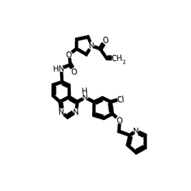 C=CC(=O)N1CCC(OC(=O)Nc2ccc3ncnc(Nc4ccc(OCc5ccccn5)c(Cl)c4)c3c2)C1